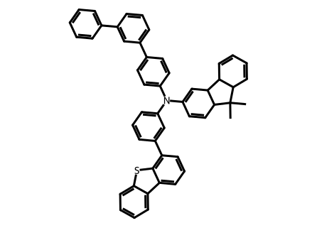 CC1(C)C2C=CC=CC2C2C=C(N(c3ccc(-c4cccc(-c5ccccc5)c4)cc3)c3cccc(-c4cccc5c4sc4ccccc45)c3)C=CC21